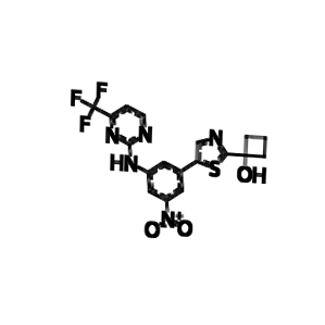 O=[N+]([O-])c1cc(Nc2nccc(C(F)(F)F)n2)cc(-c2cnc(C3(O)CCC3)s2)c1